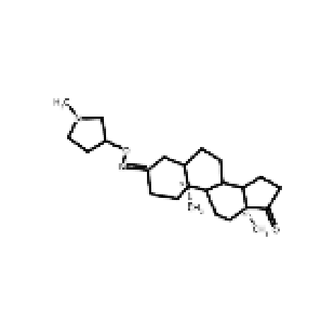 CN1CCC(ON=C2CC[C@@]3(C)C(CCC4C3CC[C@]3(C)C(=O)CCC43)C2)C1